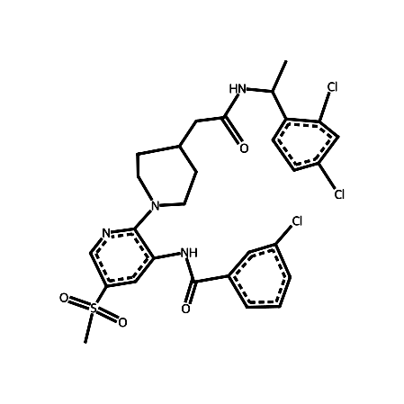 CC(NC(=O)CC1CCN(c2ncc(S(C)(=O)=O)cc2NC(=O)c2cccc(Cl)c2)CC1)c1ccc(Cl)cc1Cl